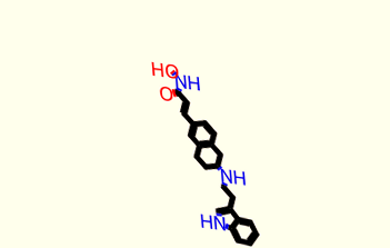 O=C(C=Cc1ccc2c(c1)CCC(NCCc1c[nH]c3ccccc13)C2)NO